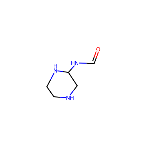 O=[C]NC1CNCCN1